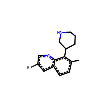 CCc1cnc2c(C3CCCNC3)c(C)ccc2c1